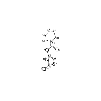 O=C(Oc1csc(Cl)n1)N1CCCCC1